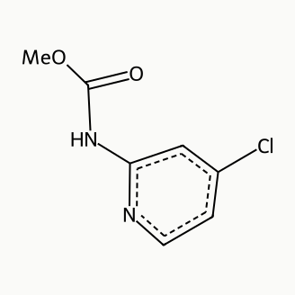 COC(=O)Nc1cc(Cl)ccn1